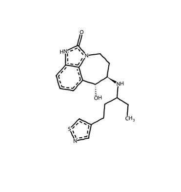 CCC(CCc1cnsc1)N[C@@H]1CCn2c(=O)[nH]c3cccc(c32)[C@H]1O